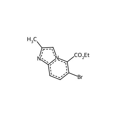 CCOC(=O)c1c(Br)ccc2nc(C)cn12